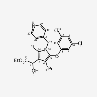 CCOC(=O)C(O)c1c(C(C)C)c(Sc2cc(Cl)cc(Cl)c2)n(Cc2ccncc2)c1C